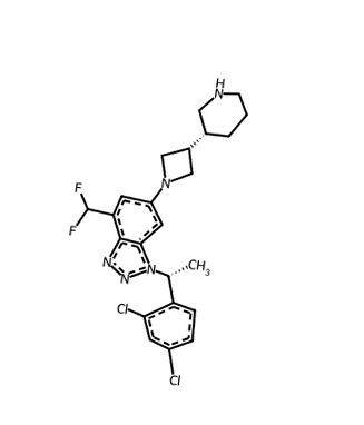 C[C@H](c1ccc(Cl)cc1Cl)n1nnc2c(C(F)F)cc(N3CC([C@H]4CCCNC4)C3)cc21